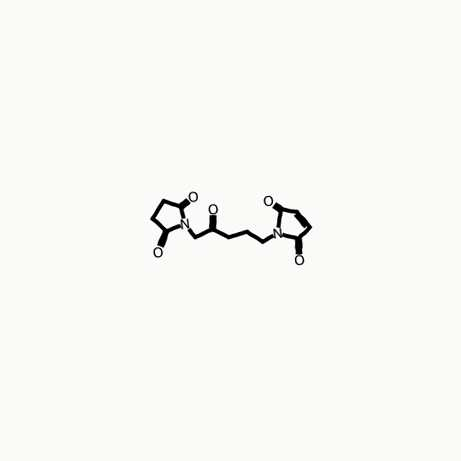 O=C(CCCN1C(=O)C=CC1=O)CN1C(=O)CCC1=O